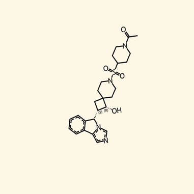 CC(=O)N1CCC(S(=O)(=O)N2CCC3(CC2)C[C@@H](C2c4ccccc4-c4cncn42)[C@H]3O)CC1